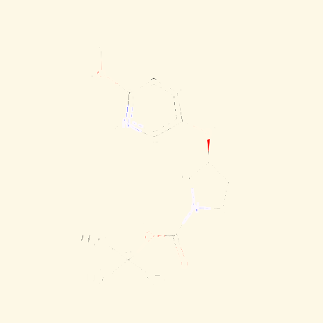 COc1ccc(O[C@H]2CCN(C(=O)OC(C)(C)C)C2)cn1